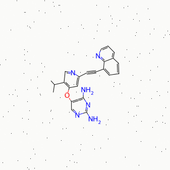 CC(C)c1cnc(C#Cc2cccc3cccnc23)cc1Oc1cnc(N)nc1N